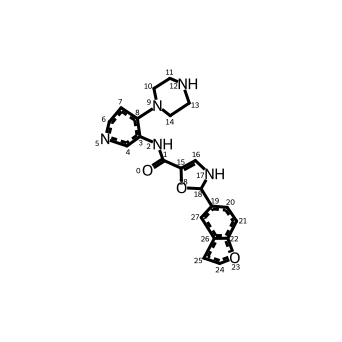 O=C(Nc1cnccc1N1CCNCC1)C1=CNC(c2ccc3occc3c2)O1